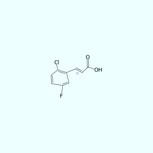 O=C(O)/C=C/c1cc(F)ccc1Cl